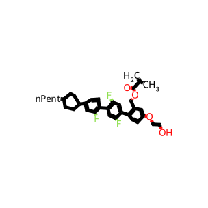 C=C(C)C(=O)OCc1cc(OCCO)ccc1-c1cc(F)c(-c2ccc(C3CCC(CCCCC)CC3)cc2F)cc1F